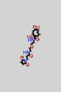 O=C(CCN1C(=O)C=CC1=O)NCCOCCNC(=O)[C@]1(O)CC/C=C/[C@H](O)CC1